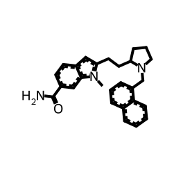 Cn1c(CCC2CCCN2Cc2cccc3ccccc23)cc2ccc(C(N)=O)cc21